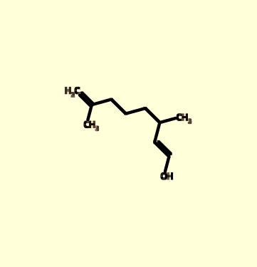 C=C(C)CCCC(C)C=CO